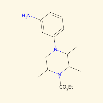 CCOC(=O)N1C(C)CN(c2cccc(N)c2)C(C)C1C